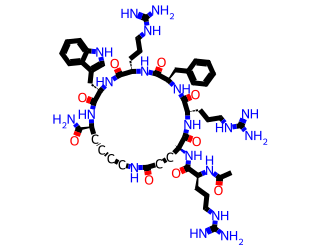 CC(=O)N[C@@H](CCCNC(=N)N)C(=O)N[C@H]1CCC(=O)NCCCC[C@@H](C(N)=O)NC(=O)[C@H](Cc2c[nH]c3ccccc23)NC(=O)[C@H](CCCNC(=N)N)NC(=O)[C@@H](Cc2ccccc2)NC(=O)[C@H](CCCNC(=N)N)NC1=O